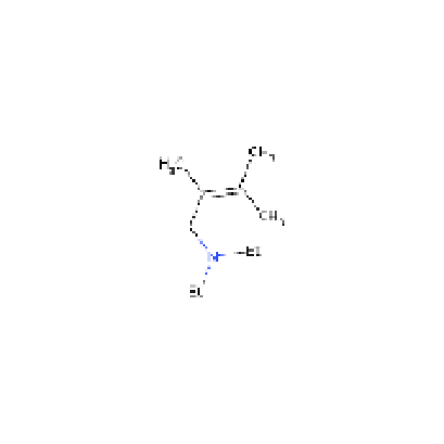 CCN(CC)CC(C)=C(C)C